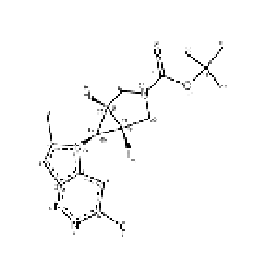 Cc1cc2nnc(Cl)cc2n1[C@H]1[C@@H]2CN(C(=O)OC(C)(C)C)C[C@@H]21